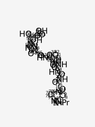 CC(C)n1nnc2c1-c1ccccc1N(C(=O)CCC(=O)NCC(=O)NCC(=O)N[C@@H](Cc1ccccc1)C(=O)NCC(=O)NCOCCn1cnc3c(ncn3C3CC(O)[C@@H](CO[PH](=O)O)O3)c1=O)Cc1ccccc1-2